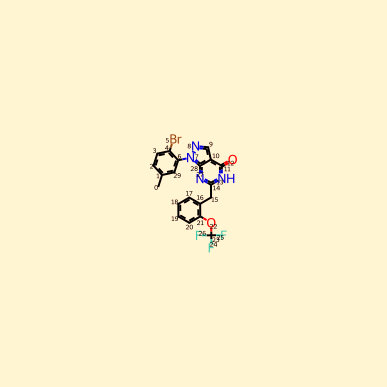 Cc1ccc(Br)c(-n2ncc3c(=O)[nH]c(Cc4ccccc4OC(F)(F)F)nc32)c1